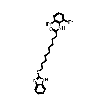 CC(C)c1cccc(C(C)C)c1NC(=O)CCCCCCCCCSc1nc2ccccc2[nH]1